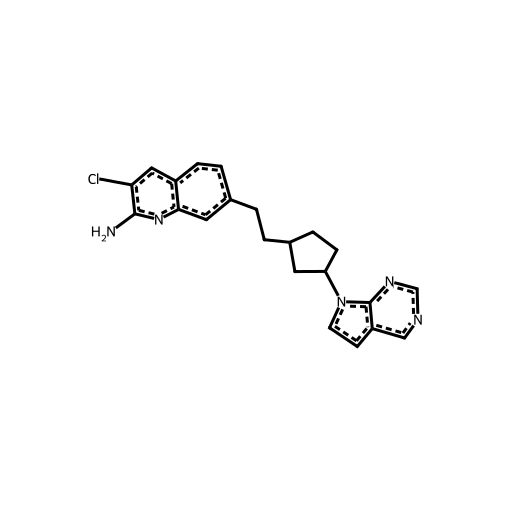 Nc1nc2cc(CCC3CCC(n4ccc5cncnc54)C3)ccc2cc1Cl